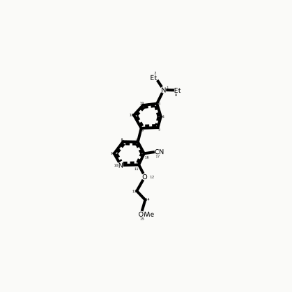 CCN(CC)c1ccc(-c2ccnc(OCCOC)c2C#N)cc1